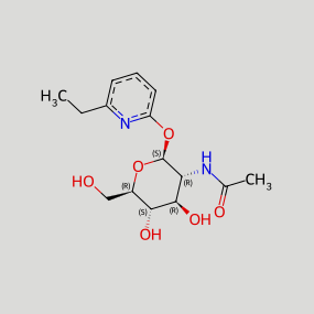 CCc1cccc(O[C@@H]2O[C@H](CO)[C@@H](O)[C@H](O)[C@H]2NC(C)=O)n1